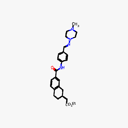 CCOC(=O)CC1CCc2ccc(C(=O)Nc3ccc(C=NN4CCN(C)CC4)cc3)cc2C1